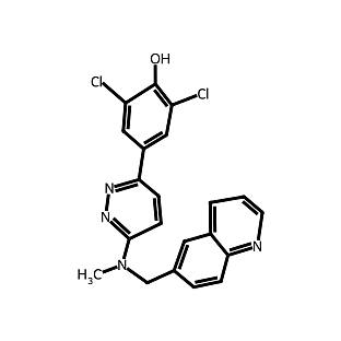 CN(Cc1ccc2ncccc2c1)c1ccc(-c2cc(Cl)c(O)c(Cl)c2)nn1